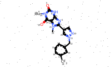 CC[C@H](C)n1c(=O)[nH]c2nc(-c3cnn(Cc4cccc(C(F)(F)F)c4)c3)n(C)c2c1=O